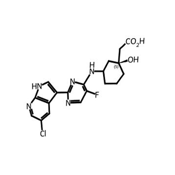 O=C(O)C[C@]1(O)CCCC(Nc2nc(-c3c[nH]c4ncc(Cl)cc34)ncc2F)C1